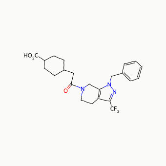 O=C(O)C1CCC(CC(=O)N2CCc3c(C(F)(F)F)nn(Cc4ccccc4)c3C2)CC1